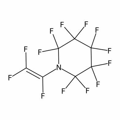 FC(F)=C(F)N1C(F)(F)C(F)(F)C(F)(F)C(F)(F)C1(F)F